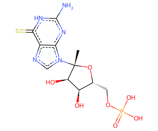 C[C@@]1(n2cnc3c(=S)[nH]c(N)nc32)O[C@H](COP(=O)(O)O)[C@@H](O)[C@H]1O